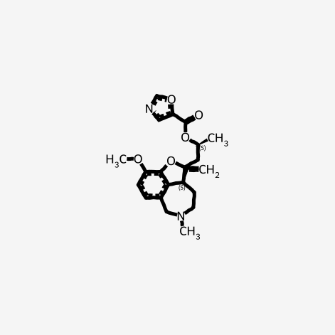 C=C[C@@]12CCN(C)Cc3ccc(OC)c(c31)OC2C[C@H](C)OC(=O)c1cnco1